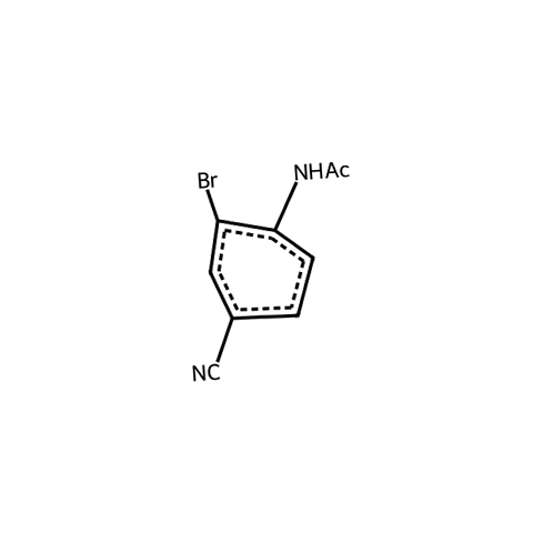 CC(=O)Nc1ccc(C#N)cc1Br